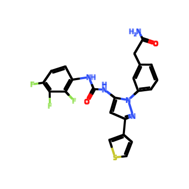 NC(=O)Cc1cccc(-n2nc(-c3ccsc3)cc2NC(=O)Nc2ccc(F)c(F)c2F)c1